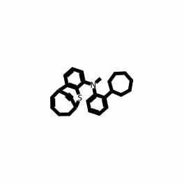 CN(c1ccccc1C1CCCCCC1)c1cccc2c1SC1C#CC2/C=C\CC1